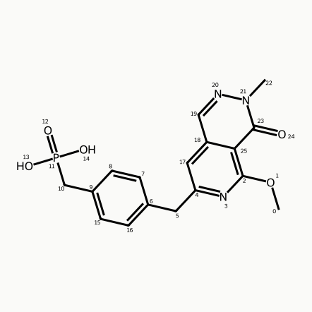 COc1nc(Cc2ccc(CP(=O)(O)O)cc2)cc2cnn(C)c(=O)c12